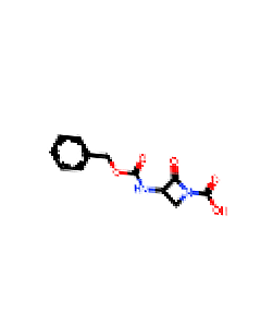 O=C(NC1CN(C(=O)O)C1=O)OCc1ccccc1